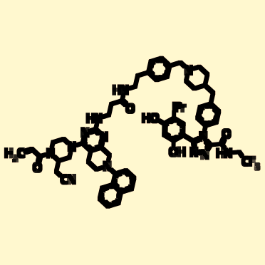 C=CC(=O)N1CCN(c2nc(NCCC(=O)NCCc3ccc(CN4CCC(Cc5ccc(-n6c(C(=O)NCC(F)(F)F)nnc6-c6cc(C(C)C)c(O)cc6O)cc5)CC4)cc3)nc3c2CCN(c2cccc4ccccc24)C3)CC1CC#N